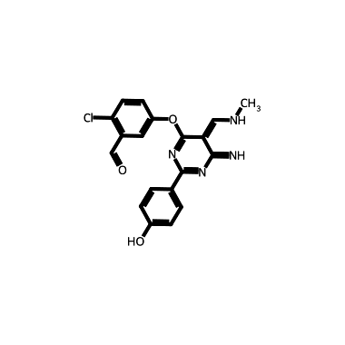 CN/C=C1\C(=N)N=C(c2ccc(O)cc2)N=C1Oc1ccc(Cl)c(C=O)c1